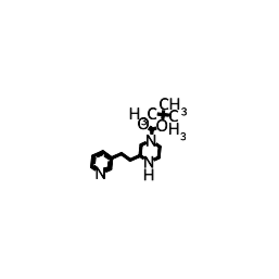 CC(C)(C)OC(=O)N1CCNC(CCc2cccnc2)C1